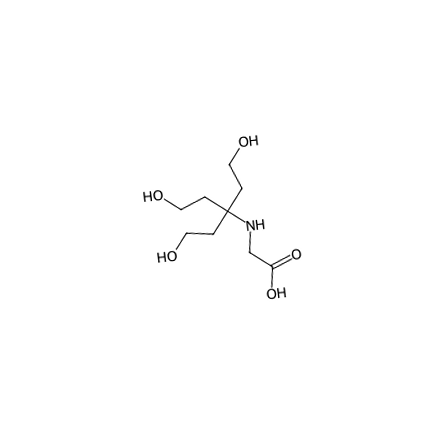 O=C(O)CNC(CCO)(CCO)CCO